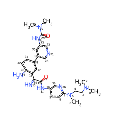 CN(C)CCN(C)c1ccc(NC(=O)C(=N)c2cc(-c3cncc(NC(=O)N(C)C)c3)ccc2N)cn1